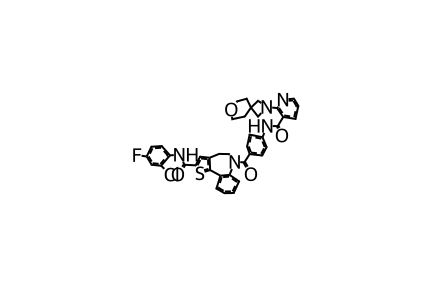 O=C(Nc1ccc(F)cc1Cl)c1cc2c(s1)-c1ccccc1N(C(=O)c1ccc(NC(=O)c3cccnc3N3CC4(CCOCC4)C3)cc1)CC2